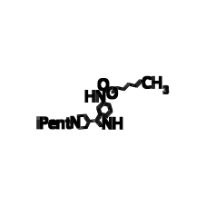 CC=CCCCOC(=O)Nc1ccc2[nH]cc(C3=CCN(C(C)CCC)CC3)c2c1